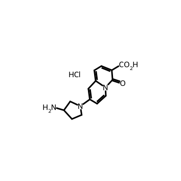 Cl.NC1CCN(c2ccn3c(=O)c(C(=O)O)ccc3c2)C1